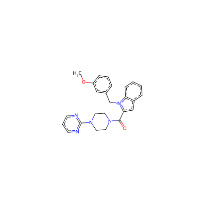 COc1cccc(Cn2c(C(=O)N3CCN(c4ncccn4)CC3)cc3ccccc32)c1